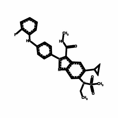 CCN(c1cc2nn(-c3ccc(Nc4ccccc4F)cc3)c(C(=O)NC)c2cc1C1CC1)S(C)(=O)=O